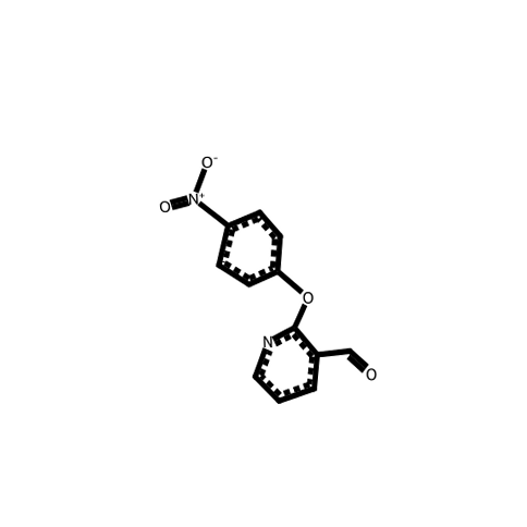 O=Cc1cccnc1Oc1ccc([N+](=O)[O-])cc1